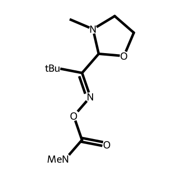 CNC(=O)ON=C(C1OCCN1C)C(C)(C)C